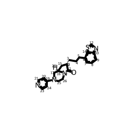 O=C1[C@@H](CCCc2cccc3ncsc23)C[C@H]2CN(c3ccncc3)CCN12